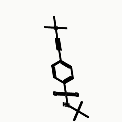 CC(C)(C)NS(=O)(=O)c1ccc(C#C[Si](C)(C)C)cc1